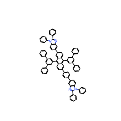 c1ccc(-c2cc(-c3ccccc3)cc(-c3c4ccc(-c5ccc6c(c5)nc(-c5ccccc5)n6-c5ccccc5)cc4c(-c4cc(-c5ccccc5)cc(-c5ccccc5)c4)c4ccc(-c5ccc(-c6ccc7c(c6)nc(-c6ccccc6)n7-c6ccccc6)cc5)cc34)c2)cc1